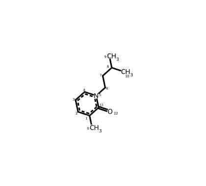 Cc1cccn(CCC(C)C)c1=O